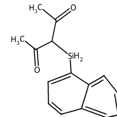 CC(=O)C([SiH2]c1cccc2ccccc12)C(C)=O